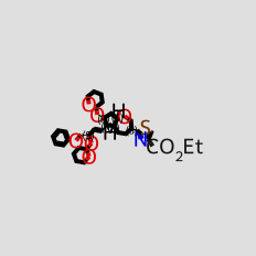 CCOC(=O)c1csc([C@H]2CC[C@@H]3[C@@H](C=C[C@@H](COc4ccccc4)OC4CCCCO4)[C@H](OC4CCCCO4)C[C@@H]3OC2)n1